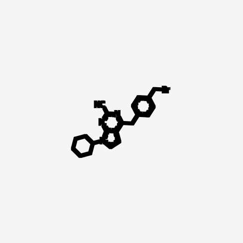 N#Cc1nc(Cc2ccc(CBr)cc2)c2ccn(C3CCCCC3)c2n1